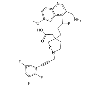 COc1ccc2ncc(CN)c(C(F)CCC3(CC(=O)O)CCN(CC#Cc4cc(F)cc(F)c4F)CC3)c2c1